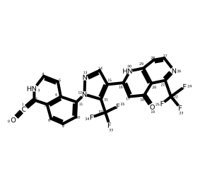 O=C=C1NC=Cc2c1cccc2-n1ncc(-c2cc(=O)c3c(C(F)(F)F)nccc3[nH]2)c1C(F)(F)F